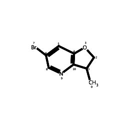 CC1COc2cc(Br)cnc21